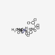 C=C(/N=C\C(=C/C)NC(=O)c1cc(NC(=O)C2C(c3cc(Cl)cc(Cl)c3)C2(Cl)Cl)ccc1Cl)C(=O)NC